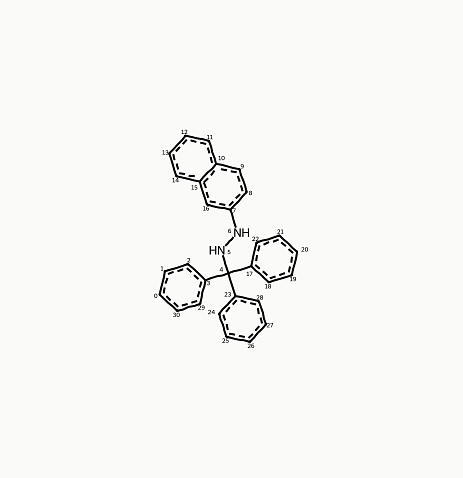 c1ccc(C(NNc2ccc3ccccc3c2)(c2ccccc2)c2ccccc2)cc1